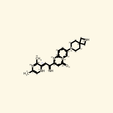 CC1=CN/C(=C\C(=N)c2cc(=O)n3cc(N4CCC5(CC4)CNC5)ccc3n2)C(C)=N1